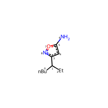 CCCCC(CC)c1cc(N)on1